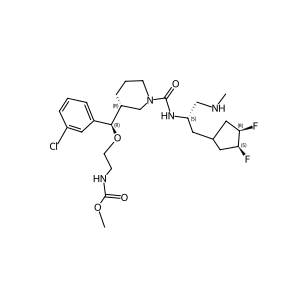 CNC[C@H](CC1C[C@@H](F)[C@@H](F)C1)NC(=O)N1CCC[C@@H]([C@@H](OCCNC(=O)OC)c2cccc(Cl)c2)C1